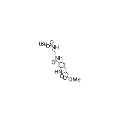 COC(=O)CC1Cc2ccc(C(=O)NCCCNC(=O)OC(C)(C)C)cc2NC1=O